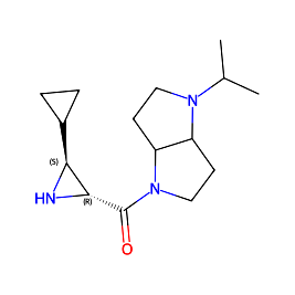 CC(C)N1CCC2C1CCN2C(=O)[C@@H]1N[C@H]1C1CC1